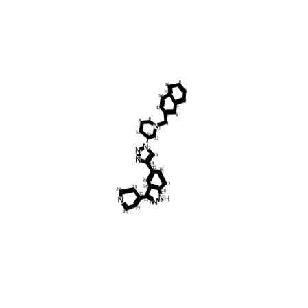 c1ccc2cc(CN3CCC[C@@H](n4cc(-c5ccc6[nH]nc(-c7ccncc7)c6c5)nn4)C3)ccc2c1